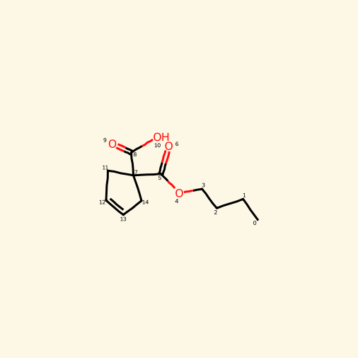 CCCCOC(=O)C1(C(=O)O)CC=CC1